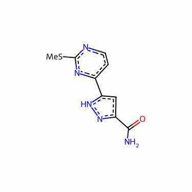 CSc1nccc(-c2cc(C(N)=O)n[nH]2)n1